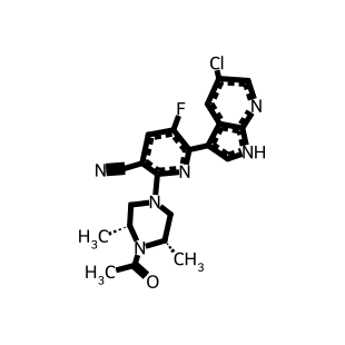 CC(=O)N1[C@H](C)CN(c2nc(-c3c[nH]c4ncc(Cl)cc34)c(F)cc2C#N)C[C@@H]1C